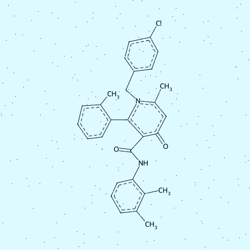 Cc1ccccc1-c1c(C(=O)Nc2cccc(C)c2C)c(=O)cc(C)n1Cc1ccc(Cl)cc1